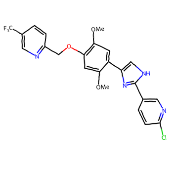 COc1cc(-c2c[nH]c(-c3ccc(Cl)nc3)n2)c(OC)cc1OCc1ccc(C(F)(F)F)cn1